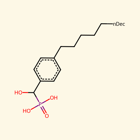 CCCCCCCCCCCCCCCc1ccc(C(O)P(=O)(O)O)cc1